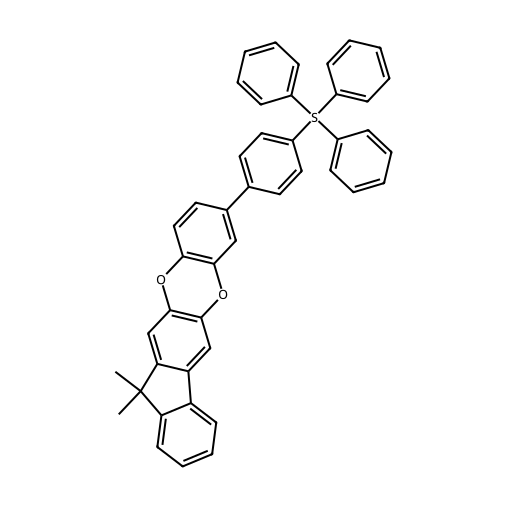 CC1(C)c2ccccc2-c2cc3c(cc21)Oc1ccc(-c2ccc(S(c4ccccc4)(c4ccccc4)c4ccccc4)cc2)cc1O3